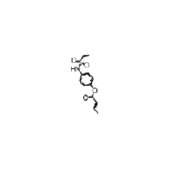 CC=CC(=O)Oc1ccc(NS(=O)(=O)CC)cc1